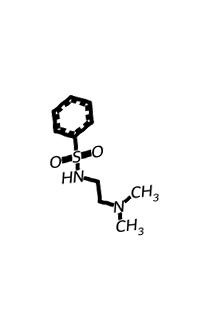 CN(C)CCNS(=O)(=O)c1ccccc1